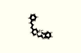 CCn1c(CN2CCC(CCCc3ccccc3)CC2)nc2ccccc21